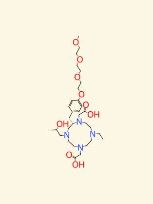 CCN1CCN(CC(=O)O)CCN(CC(C)O)C[C@H](Cc2ccc(OCCOCCOCCOC)cc2)N(CC(=O)O)CC1